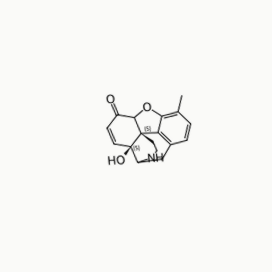 Cc1ccc2c3c1OC1C(=O)C=C[C@@]4(O)C(C2)NCC[C@]314